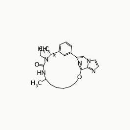 CCN1C(=O)NC(C)CCCCCOc2nc(cn3ccnc23)-c2cccc(c2)[C@H]1C